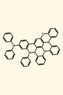 c1ccc(N2B3c4ccccc4N4c5ccccc5B5c6ccccc6Oc6cc(c3c4c65)-c3ccc(N(c4ccccc4)c4ccccc4)cc32)cc1